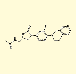 CC(=O)NC[C@H]1CN(c2ccc(N3CCc4ccncc4C3)c(F)c2)C(=O)O1